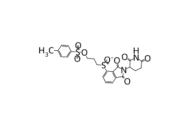 Cc1ccc(S(=O)(=O)OCCC[S+]([O-])c2cccc3c2C(=O)N(C2CCC(=O)NC2=O)C3=O)cc1